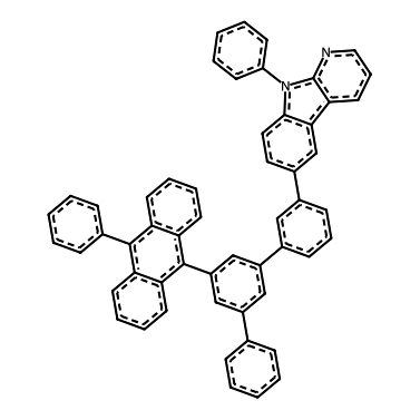 c1ccc(-c2cc(-c3cccc(-c4ccc5c(c4)c4cccnc4n5-c4ccccc4)c3)cc(-c3c4ccccc4c(-c4ccccc4)c4ccccc34)c2)cc1